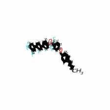 CCCCCc1ccc(COc2ccc(C(F)(F)Oc3ccc(-c4ccc(-c5cc(F)c(F)c(F)c5)c(F)c4)c(F)c3)c(F)c2)cc1